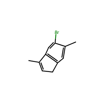 CC1=CCc2cc(C)c(Br)cc21